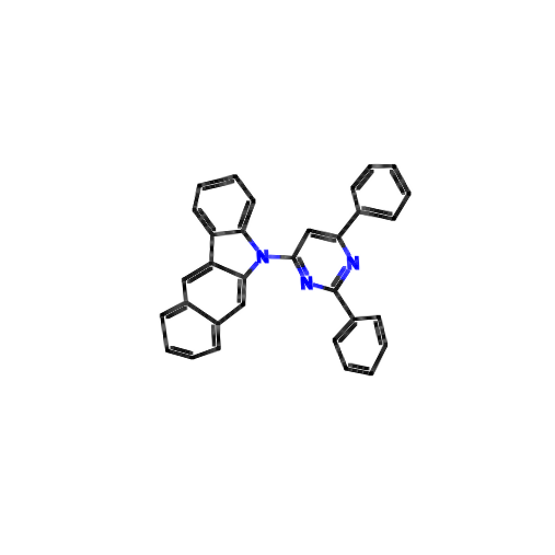 c1ccc(-c2cc(-n3c4ccccc4c4cc5ccccc5cc43)nc(-c3ccccc3)n2)cc1